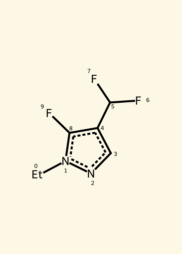 CCn1ncc(C(F)F)c1F